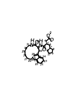 COC(=O)C[C@@H](CC1CCCC1)C(=O)NC1Cc2cn(c3ccccc23)CCCCCCNC1=O